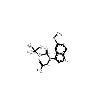 COc1ccc2scc(N(CC(=O)O)C(=O)OC(C)(C)C)c2c1